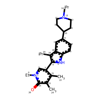 CCn1cc(-c2[nH]c3ccc(C4CCN(C(C)C)CC4)cc3c2C(C)C)c(C)c(C)c1=O